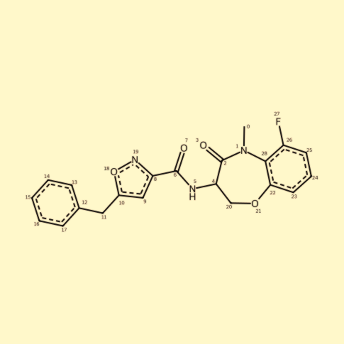 CN1C(=O)C(NC(=O)c2cc(Cc3ccccc3)on2)COc2cccc(F)c21